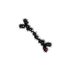 CC1(C)c2cc(/C=C/c3ccc(-c4ccc(/C=C/c5ccc6c(c5)C(C)(C)c5cc(N(c7ccc8ccccc8c7)c7ccc8ccccc8c7)ccc5-6)cc4)cc3)ccc2-c2ccc(N(c3ccc4ccccc4c3)c3ccc4ccccc4c3)cc21